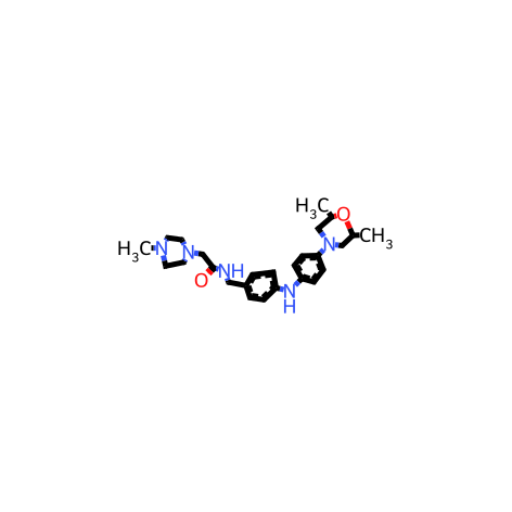 CC1CN(c2ccc(Nc3ccc(CNC(=O)CN4CCN(C)CC4)cc3)cc2)CC(C)O1